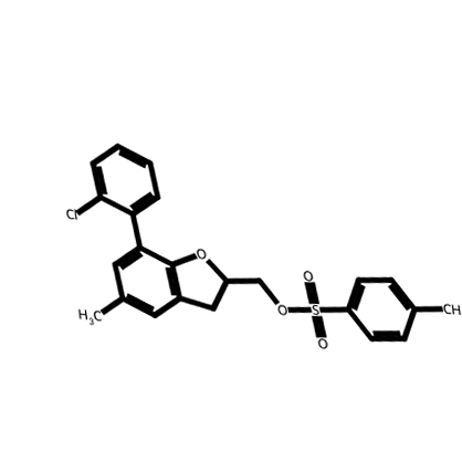 Cc1ccc(S(=O)(=O)OCC2Cc3cc(C)cc(-c4ccccc4Cl)c3O2)cc1